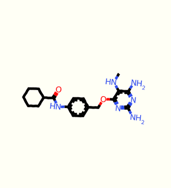 CNc1c(N)nc(N)nc1OCc1ccc(NC(=O)C2CCCCC2)cc1